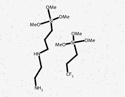 CO[Si](CCC(F)(F)F)(OC)OC.CO[Si](CCCNCCN)(OC)OC